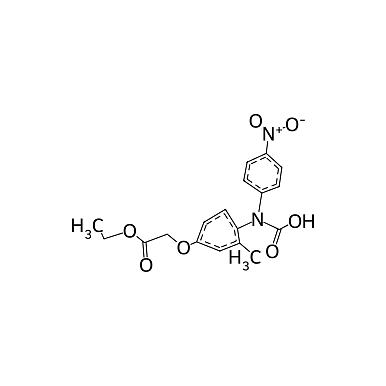 CCOC(=O)COc1ccc(N(C(=O)O)c2ccc([N+](=O)[O-])cc2)c(C)c1